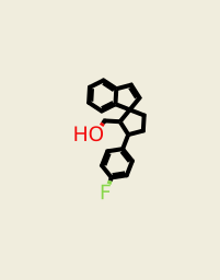 OCC1C(c2ccc(F)cc2)CCC12C=Cc1ccccc12